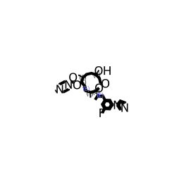 C/C(=C\c1cc(F)cc(-n2ccnc2)c1)[C@H]1OC(=O)C[C@H](O)CC[C@H](C)[C@H](OC(=O)N2CCN(C)CC2)/C=C/[C@@H]1C